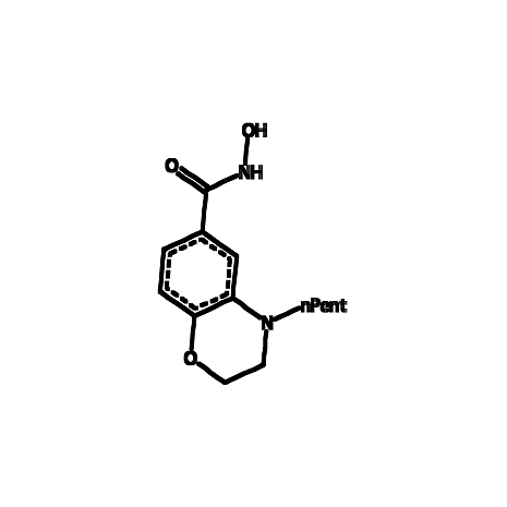 CCCCCN1CCOc2ccc(C(=O)NO)cc21